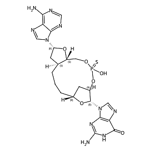 Nc1nc2c(ncn2[C@@H]2O[C@@H]3CCC[C@H]4C[C@H](n5cnc6c(N)ncnc65)O[C@@H]4COP(O)(=S)O[C@@H]2C3)c(=O)[nH]1